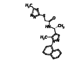 Cc1nnc(SCC(=O)N[C@H](C)c2cnn(-c3cccc4ccccc34)c2C)s1